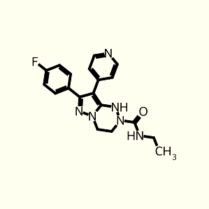 CCNC(=O)N1CCn2nc(-c3ccc(F)cc3)c(-c3ccncc3)c2N1